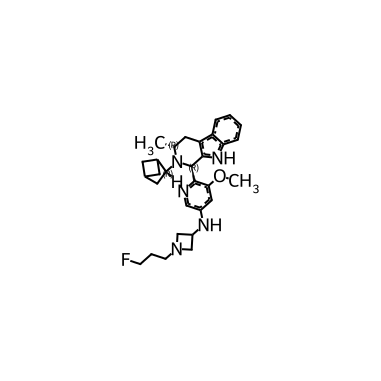 COc1cc(NC2CN(CCCF)C2)cnc1[C@@H]1c2[nH]c3ccccc3c2C[C@@H](C)N1[C@@H]1CC2CC1C2